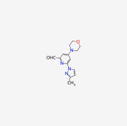 Cc1ccn(-c2cc(N3CCOCC3)cc(C=O)n2)n1